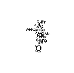 CC[C@H](C)[C@@H]([C@@H](CC(=O)N1CCC[C@H]1[C@H](OC)[C@@H](C)C(=O)NCCC1C=CC=CC=C1)OC)N(C)C(=O)[C@@H](C)C(C)C